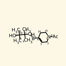 CC(=O)N1CC=C(BOC(C)(C)C(C)(C)O)CC1